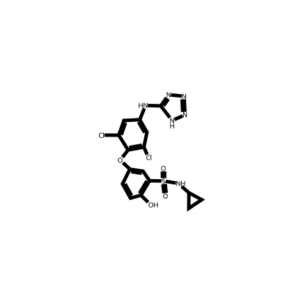 O=S(=O)(NC1CC1)c1cc(Oc2c(Cl)cc(Nc3nnn[nH]3)cc2Cl)ccc1O